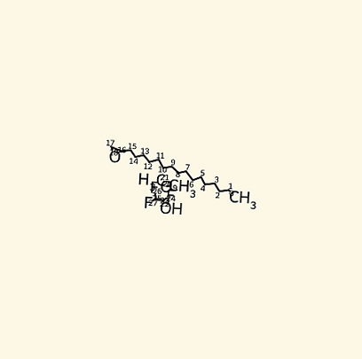 CCCCCCCCCCCCCCCCC1CO1.COC.OC(F)C(F)F